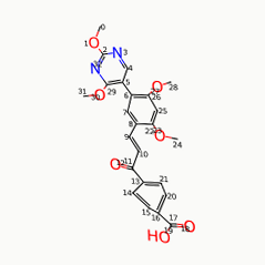 COc1ncc(-c2cc(/C=C/C(=O)c3ccc(C(=O)O)cc3)c(OC)cc2OC)c(OC)n1